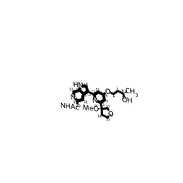 CO[C@@]1(c2cc(OCC[C@H](C)O)cc(-c3c[nH]c4cnc(NC(C)=O)cc34)n2)CCOC1